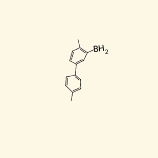 Bc1cc(-c2ccc(C)cc2)ccc1C